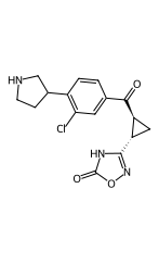 O=C(c1ccc(C2CCNC2)c(Cl)c1)[C@H]1C[C@@H]1c1noc(=O)[nH]1